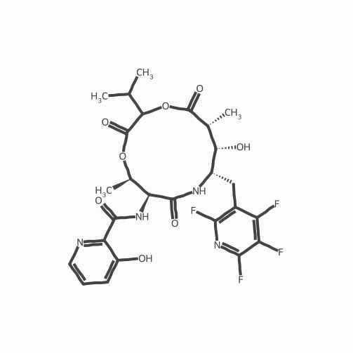 CC(C)C1OC(=O)[C@H](C)[C@H](O)[C@H](Cc2c(F)nc(F)c(F)c2F)NC(=O)[C@@H](NC(=O)c2ncccc2O)[C@@H](C)OC1=O